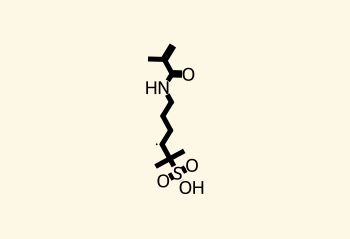 C=C(C)C(=O)NCCC[CH]C(C)(C)S(=O)(=O)O